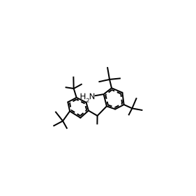 CC(c1cc(C(C)(C)C)cc(C(C)(C)C)c1)c1cc(C(C)(C)C)cc(C(C)(C)C)c1N